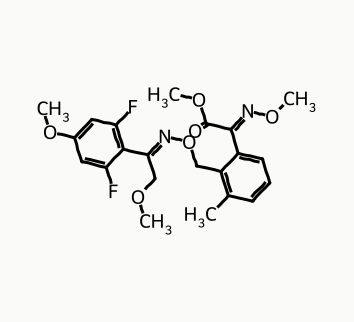 COC/C(=N\OCc1c(C)cccc1/C(=N\OC)C(=O)OC)c1c(F)cc(OC)cc1F